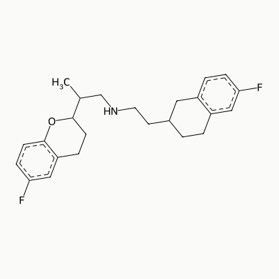 CC(CNCCC1CCc2cc(F)ccc2C1)C1CCc2cc(F)ccc2O1